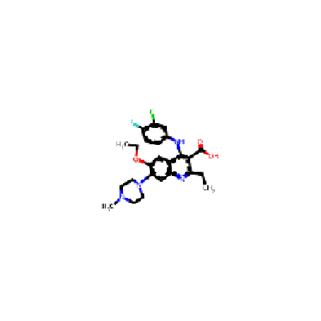 CCOc1cc2c(Nc3ccc(F)c(Cl)c3)c(C(=O)O)c(CC)nc2cc1N1CCN(C)CC1